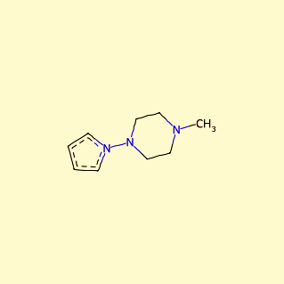 CN1CCN(n2cccc2)CC1